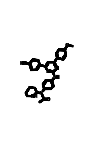 COc1ccc(-c2cc(-c3ccc(O)cc3)nc(Nc3ccc(N(C(C)=O)C4CCCCN4)cc3)n2)cc1